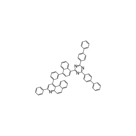 c1ccc(-c2ccc(-c3nc(-c4ccc(-c5ccccc5)cc4)nc(-c4ccc(-c5cccc(-c6cc(-c7ccccc7)nc7ccc8ccccc8c67)c5)c5ccccc45)n3)cc2)cc1